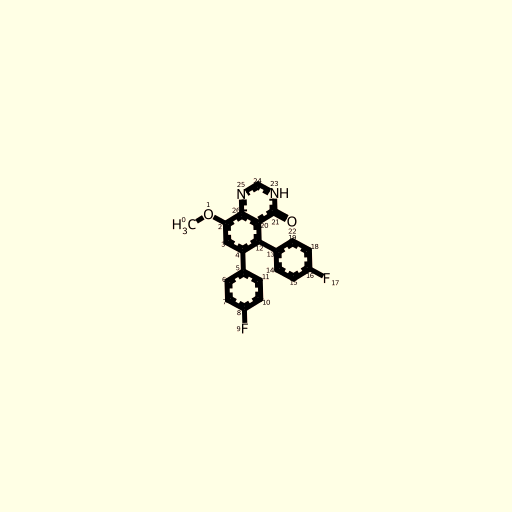 COc1cc(-c2ccc(F)cc2)c(-c2ccc(F)cc2)c2c(=O)[nH]cnc12